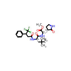 COC(=O)[C@H](C[C@@H]1CCNC1=O)NC(=O)[C@H](CC(C)(C)C)NC(=O)CC(c1ccccc1)C(F)(F)F